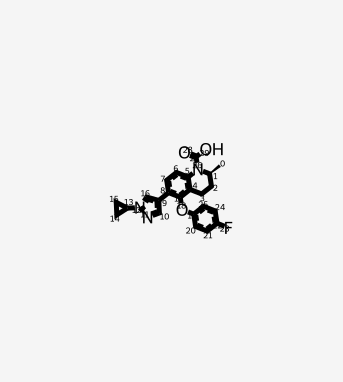 C[C@H]1CCc2c(ccc(-c3cnn(C4CC4)c3)c2Oc2ccc(F)cc2)N1C(=O)O